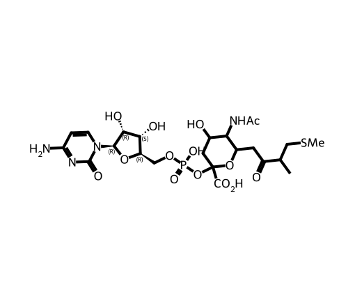 CSCC(C)C(=O)CC1OC(OP(=O)(O)OC[C@H]2O[C@@H](n3ccc(N)nc3=O)[C@H](O)[C@@H]2O)(C(=O)O)CC(O)C1NC(C)=O